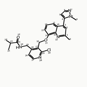 Cc1cc(-c2ccnn2C)c2cccc(OCc3c(CNC(=O)C(C)C)ccnc3Cl)c2n1